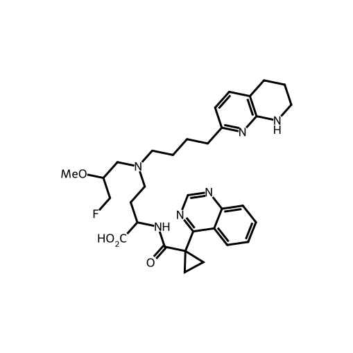 COC(CF)CN(CCCCc1ccc2c(n1)NCCC2)CCC(NC(=O)C1(c2ncnc3ccccc23)CC1)C(=O)O